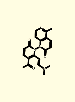 CC(=O)c1ccc(=O)n(-n2c(=O)ccc3c(C)nccc32)c1C=CN(C)C